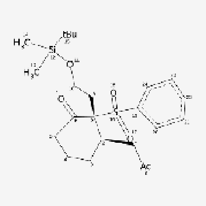 CC(=O)C[C@H]1CCCC(=O)[C@]1(CCO[Si](C)(C)C(C)(C)C)S(=O)(=O)c1ccccc1